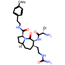 CC[C@H](N)C(=O)N[C@@H]1C(=O)N2[C@@H](CC[C@@H]1CCNC(N)=O)CC[C@H]2C(=O)NCCc1ccc(OC)cc1